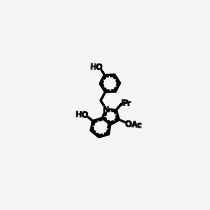 CC(=O)Oc1c(C(C)C)n(Cc2cccc(O)c2)c2c(O)cccc12